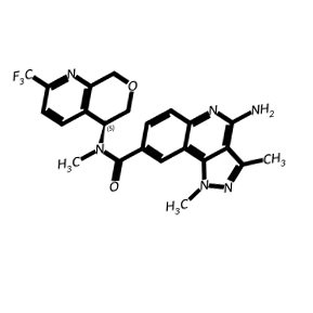 Cc1nn(C)c2c1c(N)nc1ccc(C(=O)N(C)[C@@H]3COCc4nc(C(F)(F)F)ccc43)cc12